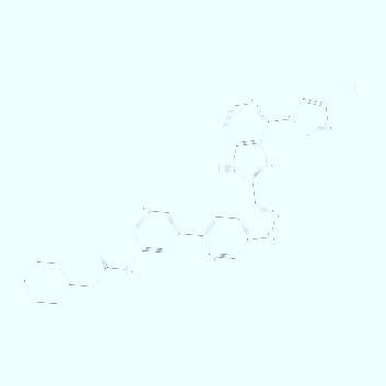 Cc1cn(-c2nccc3[nH]c(-c4n[nH]c5cnc(-c6cncc(NC(=O)CC7CCCCC7)c6)cc45)nc23)cn1